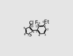 CCc1cccc(-c2sccc2Cl)c1F